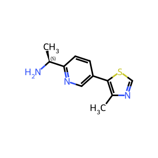 Cc1ncsc1-c1ccc([C@H](C)N)nc1